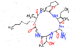 CCCCCC[C@H]1OC(=O)CNC(=O)[C@H]([C@H](C)O)NC(=O)[C@H](CN)NC(=O)[C@H]([C@H](C)CC)NC(=O)[C@H](CC2CCCC2)N(C)C(=O)[C@@H]1C